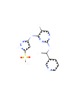 CCC(Nc1ncc(Cl)c(Nc2cc(S(C)(=O)=O)[nH]n2)n1)c1cccnc1